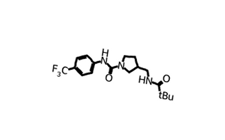 CC(C)(C)C(=O)NCC1CCN(C(=O)Nc2ccc(C(F)(F)F)cc2)C1